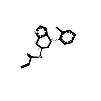 C=CC(=O)N[C@H]1Cc2sccc2[C@H](c2ccccc2C)C1